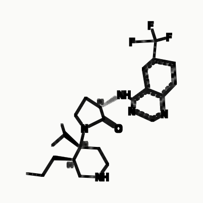 CCC[C@@H]1CNCC[C@@]1(C(C)C)N1CC[C@H](Nc2ncnc3ccc(C(F)(F)F)cc23)C1=O